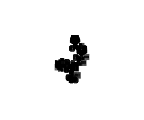 Cn1nnnc1S(=O)(=O)c1sc(NC(=O)Nc2ccnc(C(=O)C3CCCC3)c2)nc1CNS(C)(=O)=O